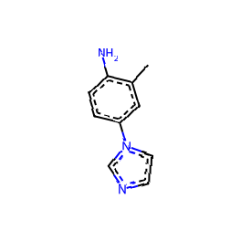 Cc1cc(-n2ccnc2)ccc1N